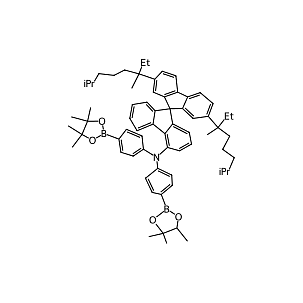 CCC(C)(CCCC(C)C)c1ccc2c(c1)C1(c3cc(C(C)(CC)CCCC(C)C)ccc3-2)c2ccccc2-c2c(N(c3ccc(B4OC(C)C(C)(C)O4)cc3)c3ccc(B4OC(C)(C)C(C)(C)O4)cc3)cccc21